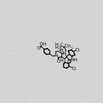 CC(C)(C)CN1[C@@H]2CCN(Cc3ccc(C(=O)O)cc3)C(=O)[C@H]2[C@H](c2cccc(Cl)c2F)[C@]12C(=O)Nc1cc(Cl)ccc12